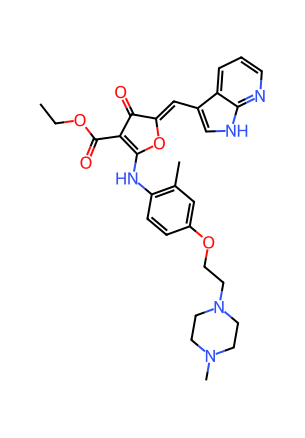 CCOC(=O)C1=C(Nc2ccc(OCCN3CCN(C)CC3)cc2C)OC(=Cc2c[nH]c3ncccc23)C1=O